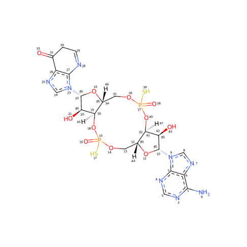 Nc1ncnc2c1ncn2[C@@H]1O[C@@H]2COP(=O)(S)O[C@H]3[C@@H](O)[C@H](n4cnc5c4N=CCC5=O)O[C@@H]3COP(=O)(S)O[C@H]2[C@H]1O